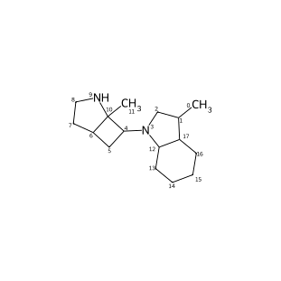 CC1CN(C2CC3CCNC32C)C2CCCCC12